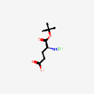 CC(C)(C)OC(=O)[C@@H](N)CCC(=O)O.Cl